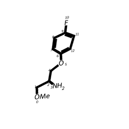 COCC(N)COc1ccc(F)cc1